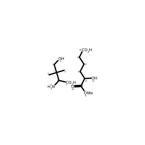 CC(C)(CO)C(N)C(=O)O.COC(=O)C(O)CCCC(=O)O